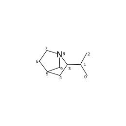 CC(C)C1CC2CCN1C2